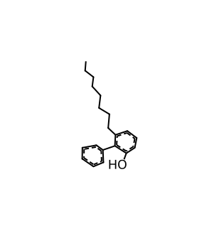 CCCCCCCCc1cccc(O)c1-c1ccccc1